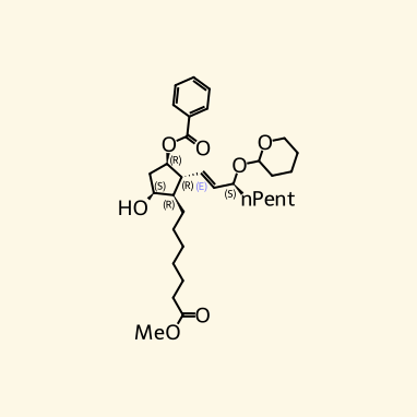 CCCCC[C@@H](/C=C/[C@@H]1[C@@H](CCCCCCC(=O)OC)[C@@H](O)C[C@H]1OC(=O)c1ccccc1)OC1CCCCO1